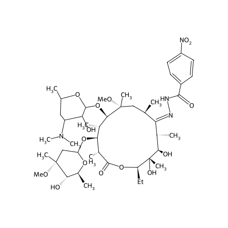 CC[C@H]1OC(=O)[C@H](C)[C@@H](OC2C[C@@](C)(OC)[C@@H](O)[C@H](C)O2)[C@H](C)[C@@H](OC2OC(C)CC(N(C)C)C2O)[C@](C)(OC)C[C@@H](C)/C(=N\NC(=O)c2ccc([N+](=O)[O-])cc2)[C@H](C)[C@@H](O)[C@]1(C)O